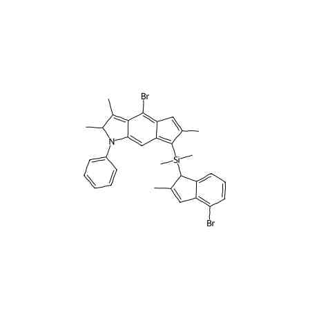 CC1=Cc2c(Br)c3c(cc2=C1[Si](C)(C)C1C(C)=Cc2c(Br)cccc21)N(c1ccccc1)C(C)C=3C